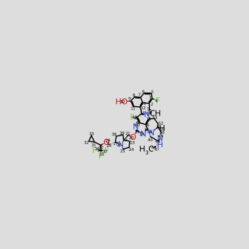 C#Cc1c(F)ccc2cc(O)cc(-c3nc4c5c(nc(OC[C@@]67CCCN6[C@H](COC(C6CC6)C(F)(F)F)CC7)nc5c3F)N3C[C@@H](CC)NC[C@H]3CC4)c12